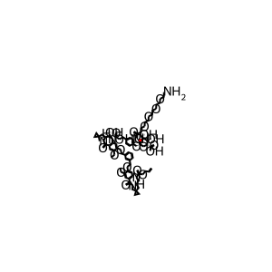 C=CCOC(=O)N1C[C@@H]2CC3(CC3)CN2C(=O)c2cc(OC)c(OCc3cccc(COc4cc5c(cc4OC)C(=O)N4CC6(CC6)C[C@H]4[C@H](O)N5C(=O)OCc4ccc(O[C@H]5O[C@@H](C(=O)O)[C@H](O)[C@@H](O)[C@@H]5O)c(NC(=O)CCOCCOCCOCCOCCN)c4)c3)cc21